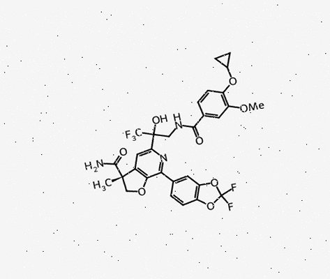 COc1cc(C(=O)NCC(O)(c2cc3c(c(-c4ccc5c(c4)OC(F)(F)O5)n2)OC[C@]3(C)C(N)=O)C(F)(F)F)ccc1OC1CC1